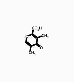 Cc1coc(C(=O)O)c(C)c1=O